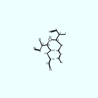 C=CC(C)C(CCCCC)OC(CCCCC)C(C)C=C